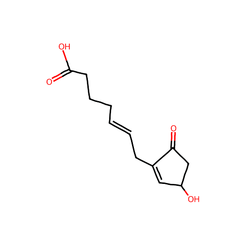 O=C(O)CCCC=CCC1=CC(O)CC1=O